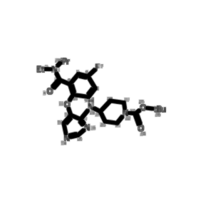 CCN(C(=O)c1cc(F)ccc1Oc1cncnc1NC1CCN(C(=O)OC(C)(C)C)CC1)C(C)C